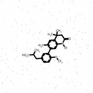 CCN1C(=O)CC(C)(C)c2cc(C)c(-c3cc(CC(C)C(=O)O)ccc3OC(F)(F)F)cc21